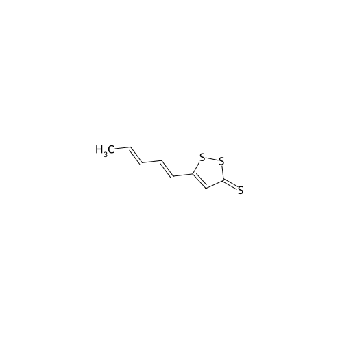 C/C=C/C=C/c1cc(=S)ss1